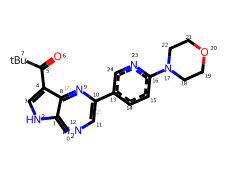 C=C1NC=C(C(=O)C(C)(C)C)/C1=N/C(=C\N)c1ccc(N2CCOCC2)nc1